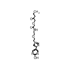 C=CCC(=O)COCC(=O)NCCOCCn1cc(-c2cnc(O)nc2)nn1